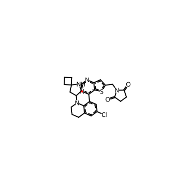 O=C1CCC(=O)N1Cc1cc2ncnc(-c3cc(Cl)cc4c3N(C3CNC5(CCC5)C3)CCC4)c2s1